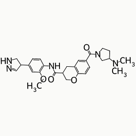 COc1cc(C2C=NNC2)ccc1NC(=O)C1COc2ccc(C(=O)N3CCC(N(C)C)C3)cc2C1